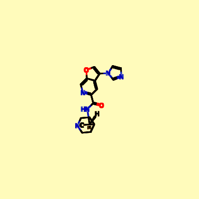 O=C(N[C@H]1CN2CCC1CC2)c1cc2c(-n3ccnc3)coc2cn1